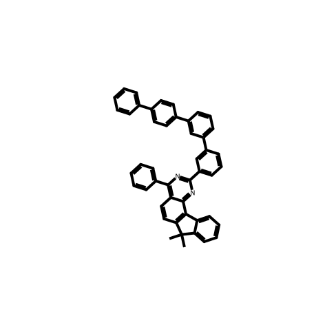 CC1(C)c2ccccc2-c2c1ccc1c(-c3ccccc3)nc(-c3cccc(-c4cccc(-c5ccc(-c6ccccc6)cc5)c4)c3)nc21